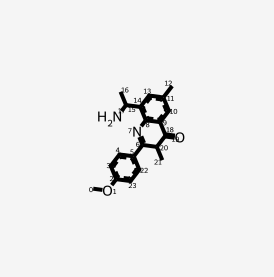 COc1ccc(C2=Nc3c(cc(C)cc3C(C)N)C(=O)C2C)cc1